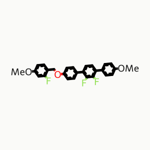 COc1ccc(-c2ccc(-c3ccc(OCc4ccc(OC)cc4F)cc3)c(F)c2F)cc1